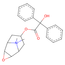 C[N+]1(C)C2CC(OC(=O)C(O)(c3ccccc3)c3ccccc3)CC1C1OC12